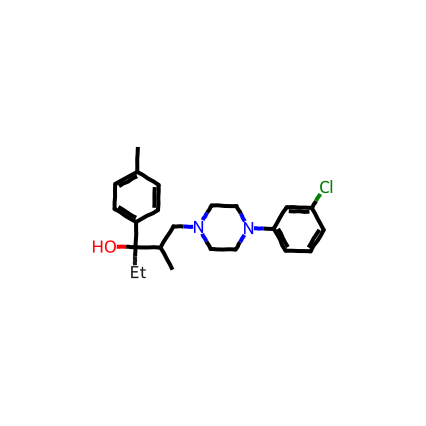 CCC(O)(c1ccc(C)cc1)C(C)CN1CCN(c2cccc(Cl)c2)CC1